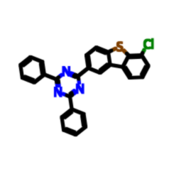 Clc1cccc2c1sc1ccc(-c3nc(-c4ccccc4)nc(-c4ccccc4)n3)cc12